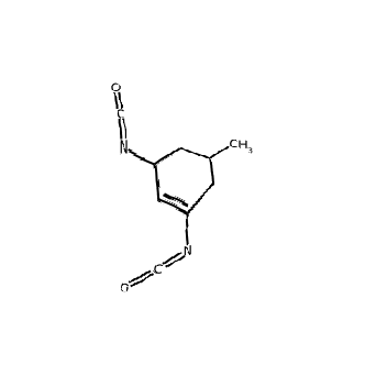 CC1CC(N=C=O)=CC(N=C=O)C1